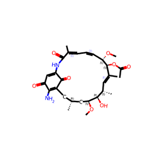 CO[C@H]1/C=C\C=C(/C)C(=O)NC2=CC(=O)C(N)=C(C[C@@H](C)C[C@H](OC)[C@H](O)[C@@H](C)/C=C(\C)[C@@H]1OC(C)=O)C2=O